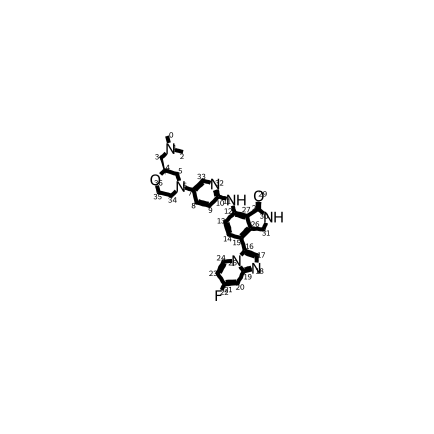 CN(C)C[C@H]1CN(c2ccc(Nc3ccc(-c4cnc5cc(F)ccn45)c4c3C(=O)NC4)nc2)CCO1